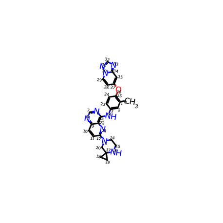 Cc1cc(Nc2ncnc3ccc(N4CCNC5(CC5)C4)nc23)ccc1Oc1ccn2ncnc2c1